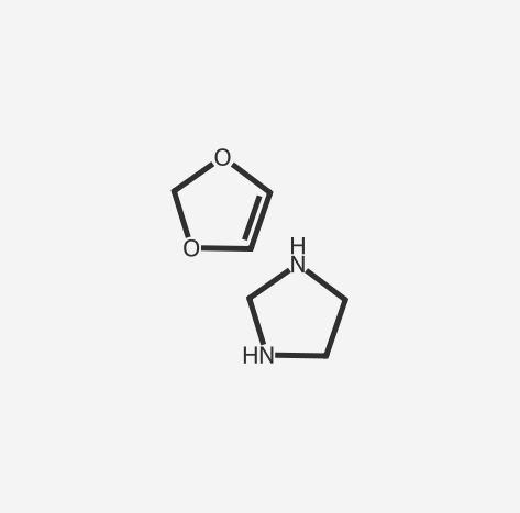 C1=COCO1.C1CNCN1